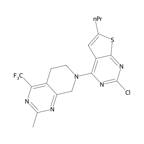 CCCc1cc2c(N3CCc4c(nc(C)nc4C(F)(F)F)C3)nc(Cl)nc2s1